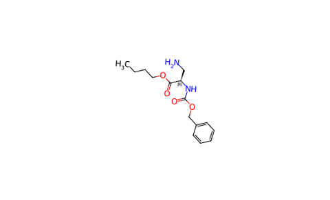 CCCCOC(=O)[C@@H](CN)NC(=O)OCc1ccccc1